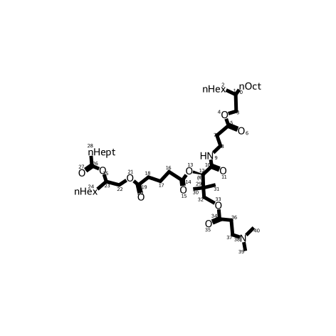 CCCCCCCCC(CCCCCC)COC(=O)CCNC(=O)[C@H](OC(=O)CCCC(=O)OCC(CCCCCC)OC(=O)CCCCCCC)C(C)(C)COC(=O)CCN(C)C